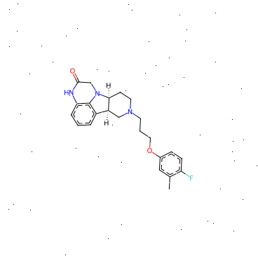 Cc1cc(OCCCN2CC[C@H]3[C@@H](C2)c2cccc4c2N3CC(=O)N4)ccc1F